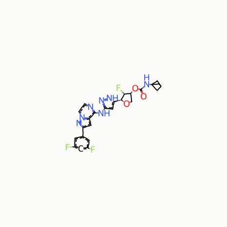 O=C(NC12CC(C1)C2)O[C@H]1CO[C@@H](c2cc(Nc3nccn4nc(-c5cc(F)cc(F)c5)cc34)n[nH]2)[C@H]1F